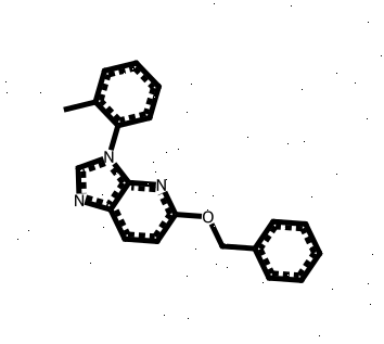 Cc1ccccc1-n1cnc2ccc(OCc3ccccc3)nc21